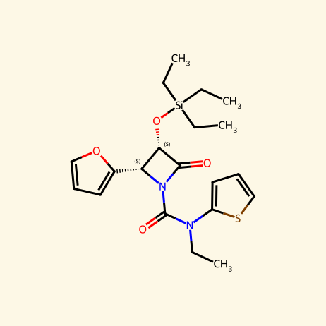 CCN(C(=O)N1C(=O)[C@@H](O[Si](CC)(CC)CC)[C@H]1c1ccco1)c1cccs1